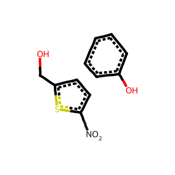 O=[N+]([O-])c1ccc(CO)s1.Oc1ccccc1